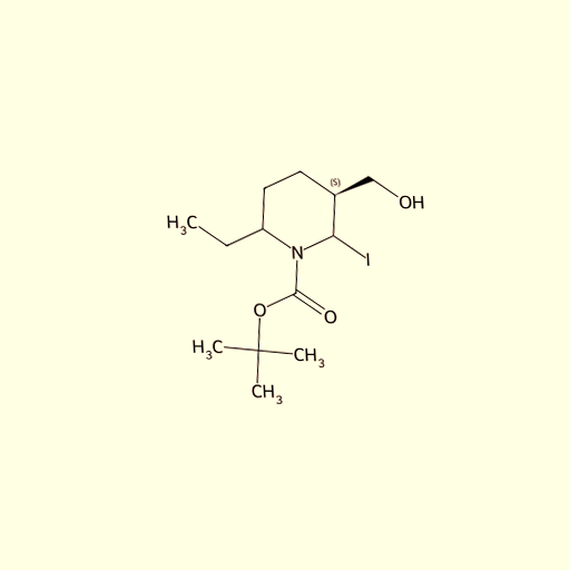 CCC1CC[C@@H](CO)C(I)N1C(=O)OC(C)(C)C